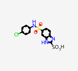 O=S(=O)(O)c1nc2ccc(S(=O)(=O)Nc3ccc(Cl)cc3)cc2[nH]1